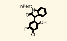 CCCCCN1C(=O)C(c2cc(F)c(Cl)cc2O)c2ccccc21